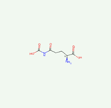 N[C@@H](CCC(=O)NC(=O)O)C(=O)O